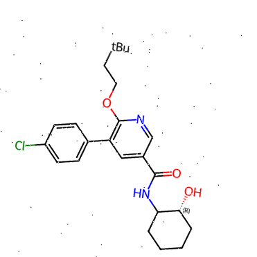 CC(C)(C)CCOc1ncc(C(=O)NC2CCCC[C@H]2O)cc1-c1ccc(Cl)cc1